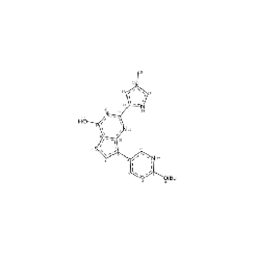 CC(C)COc1ccc(-c2csc3c(O)nc(-c4cn(C)cn4)nc23)cn1